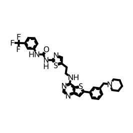 O=C(Nc1cccc(C(F)(F)F)c1)Nc1ncc(CCNc2ncnc3cc(-c4cccc(CN5CCCCC5)c4)sc23)s1